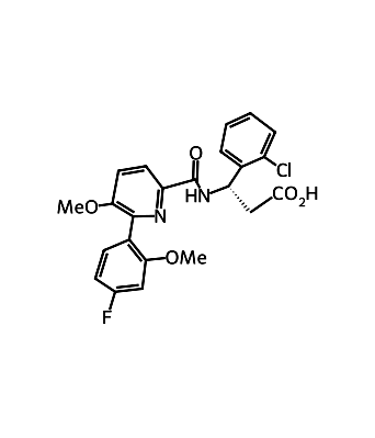 COc1cc(F)ccc1-c1nc(C(=O)N[C@@H](CC(=O)O)c2ccccc2Cl)ccc1OC